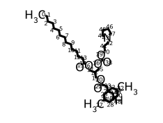 CCCCCCCCCCCCCCC(=O)OCC(COC(=O)CC12C[C@H](C)C[C@H](C[C@H](C)C1)C2)COC(=O)OCCCN1CCCC1